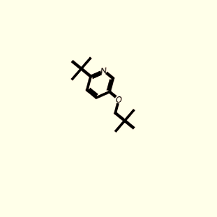 CC(C)(C)COc1ccc(C(C)(C)C)nc1